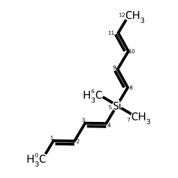 CC=CC=C[Si](C)(C)C=CC=CC